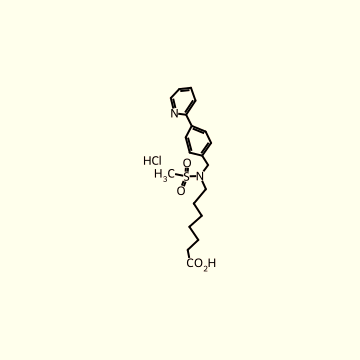 CS(=O)(=O)N(CCCCCCC(=O)O)Cc1ccc(-c2ccccn2)cc1.Cl